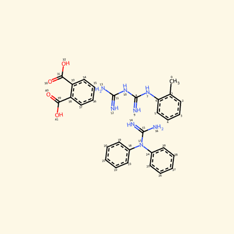 Cc1ccccc1NC(=N)NC(=N)N.N=C(N)N(c1ccccc1)c1ccccc1.O=C(O)c1ccccc1C(=O)O